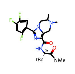 CNC(=O)[C@@H](NC(=O)c1nc(-c2cc(F)c(F)cc2F)n2c1CN(C)C(C)C2)C(C)(C)C